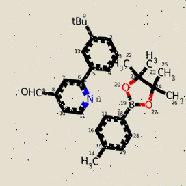 CC(C)(C)c1cccc(-c2cc(C=O)ccn2)c1.Cc1ccc(B2OC(C)(C)C(C)(C)O2)cc1